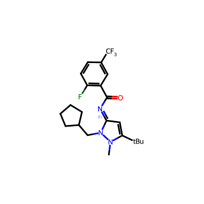 Cn1c(C(C)(C)C)c/c(=N\C(=O)c2cc(C(F)(F)F)ccc2F)n1CC1CCCC1